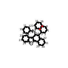 c1ccc(-c2c(N(c3ccccc3)c3ccccc3)c3c4ccccc4oc3c3ccccc23)cc1